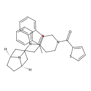 Cc1nc2ccccc2n1C1C[C@H]2CC[C@@H](C1)N2CCC1(c2ccccc2)CCN(C(=O)c2cccs2)CC1